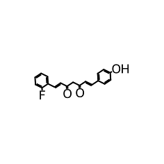 O=C(C=Cc1ccc(O)cc1)CC(=O)C=Cc1ccccc1F